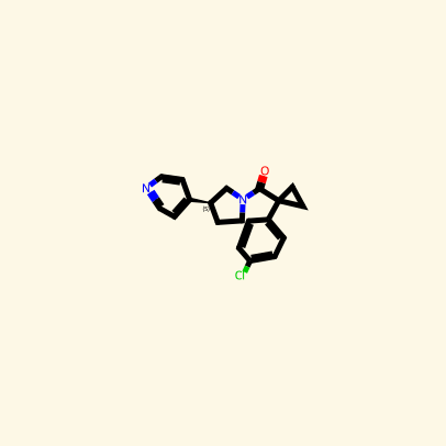 O=C(N1CC[C@@H](c2ccncc2)C1)C1(c2ccc(Cl)cc2)CC1